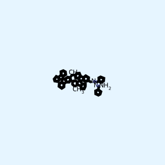 C=C(c1ccc2c(c1)C1(C3=C(c4ccccc41)C(C)CC=C3)c1cc(C/N=C(\N=C(/N)c3ccccc3)c3ccccc3)ccc1-2)c1ccc2c(c1)C1(c3ccccc3-c3ccccc31)c1ccccc1-2